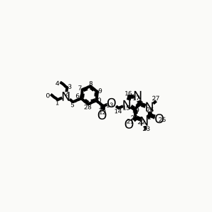 CCN(CC)Cc1cccc(C(=O)OCn2cnc3c2c(=O)n(C)c(=O)n3C)c1